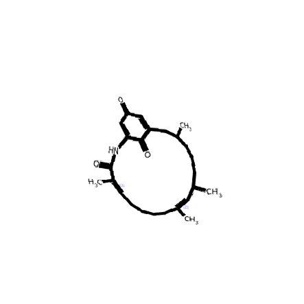 C/C1=C/C(C)CCCC(C)CC2=CC(=O)C=C(NC(=O)/C(C)=C\CCC[CH]1)C2=O